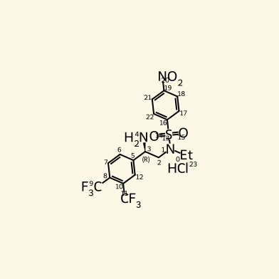 CCN(C[C@H](N)c1ccc(C(F)(F)F)c(C(F)(F)F)c1)S(=O)(=O)c1ccc([N+](=O)[O-])cc1.Cl